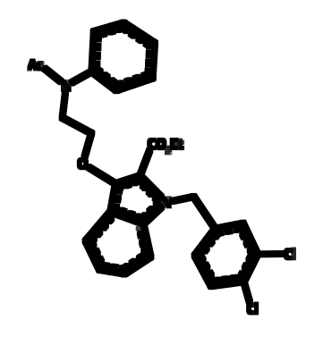 CCOC(=O)c1c(OCCN(C(C)=O)c2ccccc2)c2ccccc2n1Cc1ccc(Cl)c(Cl)c1